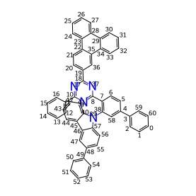 c1ccc(-c2ccc(-c3nc(-c4ccccc4)nc(-c4ccc5c6ccccc6c6ccccc6c5c4)n3)c(-n3c4ccccc4c4cc(-c5ccccc5)ccc43)c2)cc1